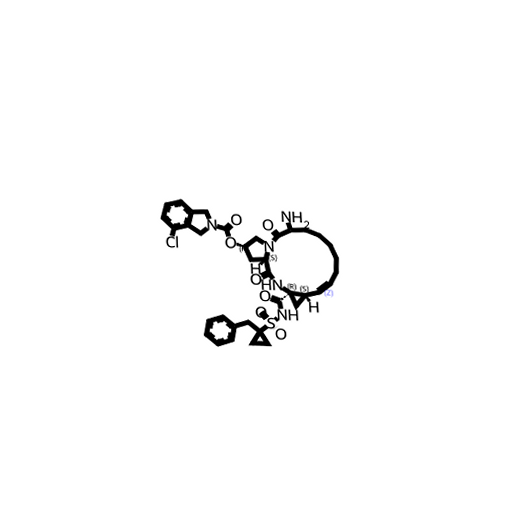 NC1CCCCC/C=C\[C@@H]2C[C@@]2(C(=O)NS(=O)(=O)C2(Cc3ccccc3)CC2)NC(=O)[C@@H]2C[C@@H](OC(=O)N3Cc4cccc(Cl)c4C3)CN2C1=O